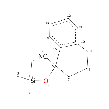 C[Si](C)(C)OC1(C#N)CCCc2ccccc21